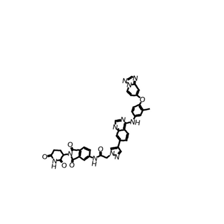 Cc1cc(Nc2ncnc3cc(-c4cnn(CC(=O)Nc5ccc6c(c5)C(=O)N(C5CCC(=O)NC5=O)C6=O)c4)ccc23)ccc1Oc1ccn2ncnc2c1